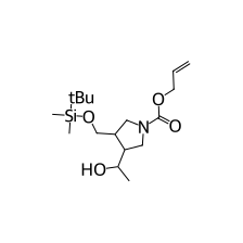 C=CCOC(=O)N1CC(CO[Si](C)(C)C(C)(C)C)C(C(C)O)C1